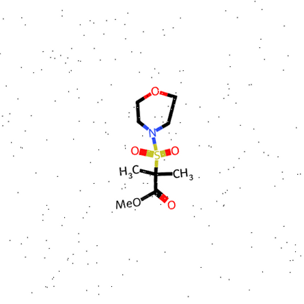 COC(=O)C(C)(C)S(=O)(=O)N1CCOCC1